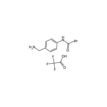 CC(C)C(=O)Nc1ccc(CN)cc1.O=C(O)C(F)(F)F